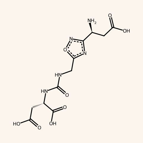 N[C@@H](CC(=O)O)c1noc(CNC(=O)N[C@@H](CC(=O)O)C(=O)O)n1